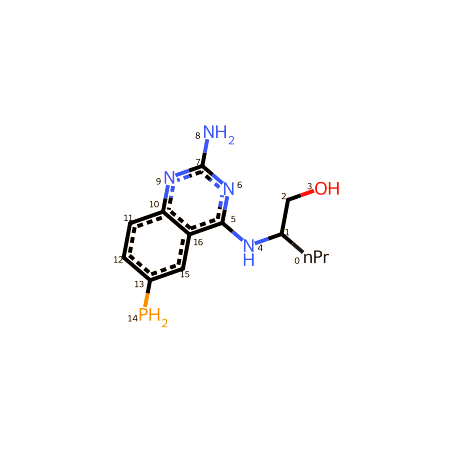 CCCC(CO)Nc1nc(N)nc2ccc(P)cc12